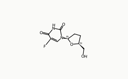 O=c1[nH]c(=O)n([C@H]2CC[C@@H](CO)O2)cc1F